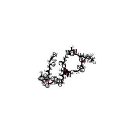 C=C1C[C@@H]2C[C@@H]3C[C@@H](O[Si](C)(C)C(C)(C)C)C[C@@H](O3)c3coc(n3)/C=C/C[C@H]3OC(/C(C)=C/c4coc(C[C@]5(OC)C[C@H](OC)C[C@H]([C@@H](/C=C(C)/C=C/[C@@H](CC#CBr)OC)O[Si](C(C)C)(C(C)C)C(C)C)O5)n4)[C@H](C)[C@@H](OC(=O)/C=C\C[C@@H](C1)O2)[C@H]3C